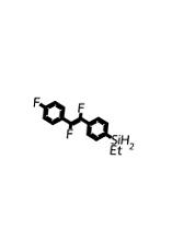 CC[SiH2]c1ccc(/C(F)=C(\F)c2ccc(F)cc2)cc1